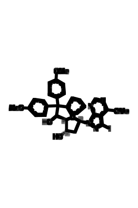 COc1ccc(C(c2ccccc2)(c2ccc(OC)cc2)C(O)[C@H]2O[C@@H](n3nc(I)c4c(OC)ncnc43)C[C@@H]2O)cc1